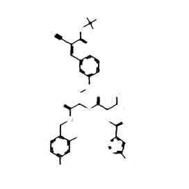 Cc1ccc(CNC(=O)[C@H](COc2cccc(C=C(C#N)C(=O)NC(C)(C)C)c2)NC(=O)[C@@H](NC(=O)c2cc(C)on2)[C@@H](C)O)c(F)c1